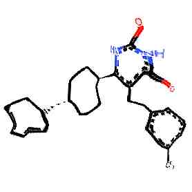 O=c1[nH]c(=O)c(Cc2cccc(C(F)(F)F)c2)c([C@H]2CC[C@H](C3C=CC=CC3)CC2)[nH]1